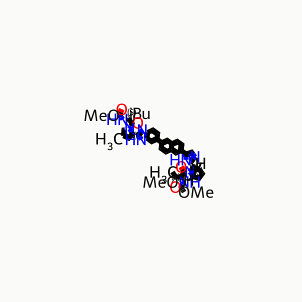 CC[C@H](C)[C@H](NC(=O)OC)C(=O)N1CC(C)=C[C@H]1c1nc2ccc(-c3ccc4cc(-c5cnc([C@@H]6[C@@H]7CC[C@@H](C7)N6C(=O)[C@@H](NC(=O)OC)[C@@H](C)OC)[nH]5)ccc4c3)cc2[nH]1